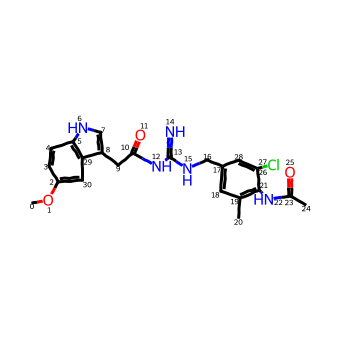 COc1ccc2[nH]cc(CC(=O)NC(=N)NCc3cc(C)c(NC(C)=O)c(Cl)c3)c2c1